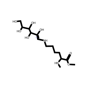 CNC(CCCCN/C=C(\O)C(O)C(O)C(O)CO)C(=O)OC